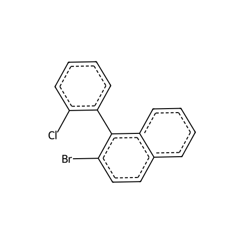 Clc1ccccc1-c1c(Br)ccc2ccccc12